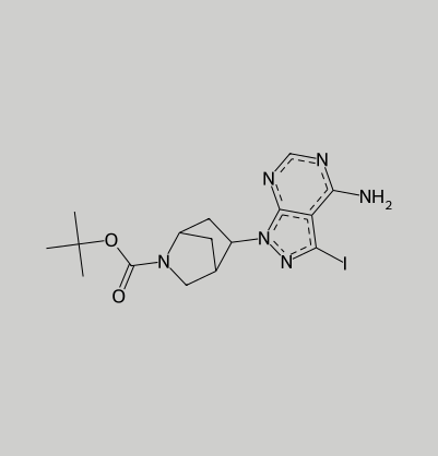 CC(C)(C)OC(=O)N1CC2CC1CC2n1nc(I)c2c(N)ncnc21